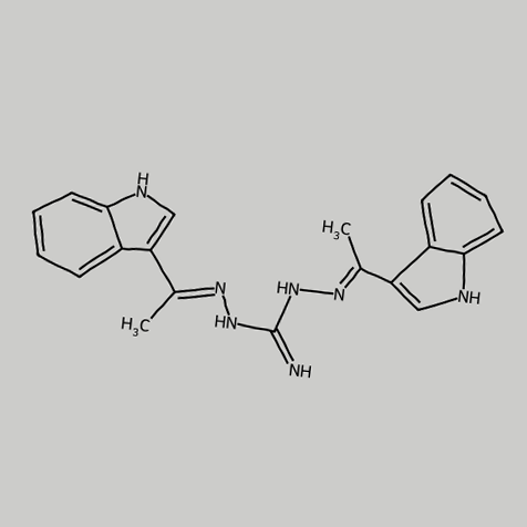 C/C(=N\NC(=N)N/N=C(\C)c1c[nH]c2ccccc12)c1c[nH]c2ccccc12